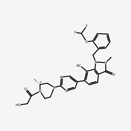 C[C@@H]1CN(c2ncc(-c3ccc4c(=O)n(C)n(Cc5ccccc5OC(F)F)c4c3C#N)cn2)CCN1C(=O)CO